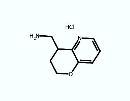 Cl.NCC1CCOc2cccnc21